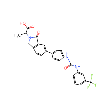 CC(C(=O)O)N1Cc2ccc(-c3ccc(NC(=O)Nc4cccc(C(F)(F)F)c4)cc3)cc2C1=O